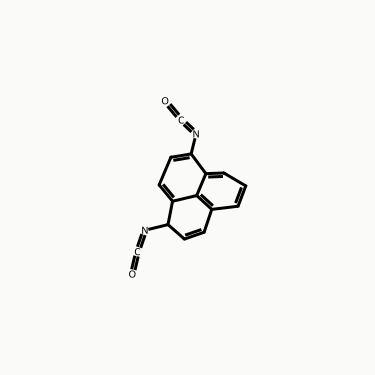 O=C=Nc1ccc2c3c(cccc13)C=CC2N=C=O